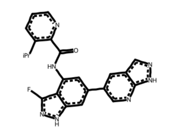 CC(C)c1cccnc1C(=O)Nc1cc(-c2cnc3[nH]ncc3c2)cc2[nH]nc(F)c12